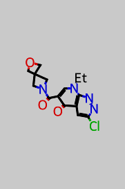 CCn1cc(C(=O)N2CC3(COC3)C2)c(=O)c2cc(Cl)nnc21